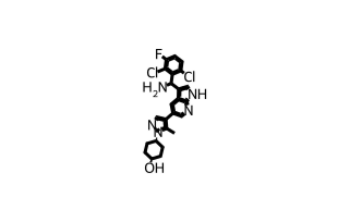 Cc1c(-c2cnc3[nH]cc(C(N)c4c(Cl)ccc(F)c4Cl)c3c2)cnn1[C@H]1CC[C@H](O)CC1